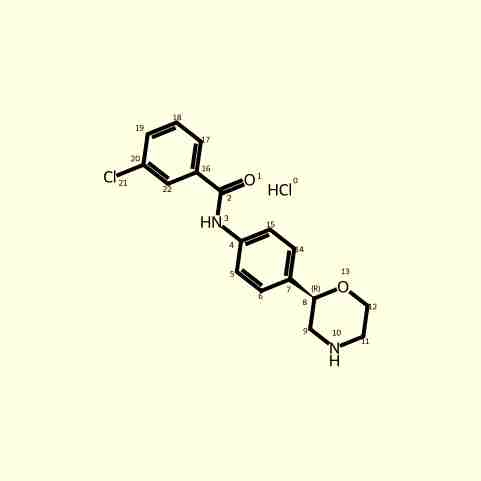 Cl.O=C(Nc1ccc([C@@H]2CNCCO2)cc1)c1cccc(Cl)c1